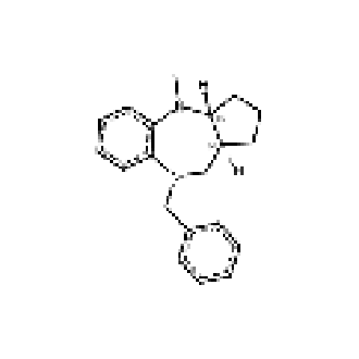 CN1c2ccccc2N(Cc2ccccc2)C[C@@H]2CCC[C@H]21